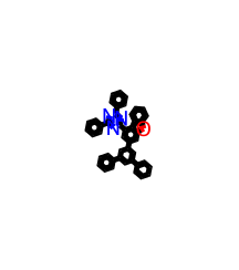 C1=CC(C2=CC(c3cc(-c4nc(-c5ccccc5)nc(-c5ccccc5)n4)c4c(c3)oc3ccccc34)CC(c3ccccc3)=C2)=CCC1